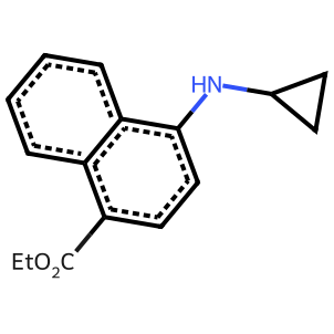 CCOC(=O)c1ccc(NC2CC2)c2ccccc12